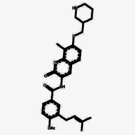 CC(=O)Oc1ccc(C(=O)Nc2cc3ccc(OCC4CCCNC4)c(C)c3oc2=O)cc1CC=C(C)C